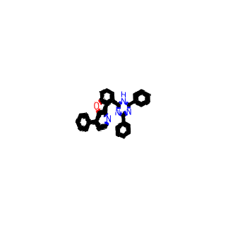 c1ccc(C2=NC(c3ccccc3)NC(c3cccc4oc5c(-c6ccccc6)ccnc5c34)=N2)cc1